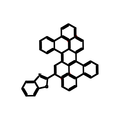 c1ccc(-c2ccccc2-c2c3ccccc3c(-c3ccccc3-c3ccccc3)c3cc(-c4nc5ccccc5o4)ccc23)cc1